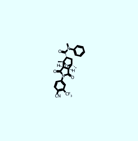 CN(C(=O)[C@@H]1C[C@]2(C)O[C@]1(C)[C@@H]1C(=O)N(c3ccc(C#N)c(C(F)(F)F)c3)C(=O)[C@@H]12)c1ccccc1